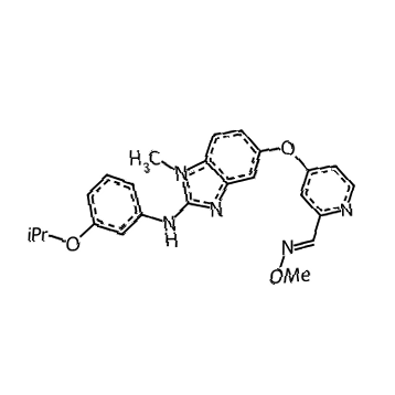 CON=Cc1cc(Oc2ccc3c(c2)nc(Nc2cccc(OC(C)C)c2)n3C)ccn1